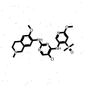 COc1cc(P(C)(C)=O)c(Nc2nc(Nc3cc4c(cc3OC)CCN(C)C4)ncc2Cl)cn1